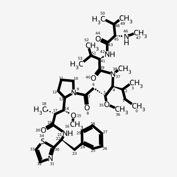 CCC(C)[C@@H]([C@@H](CC(=O)N1CCCC1[C@H](OC)[C@@H](C)C(=O)N[C@@H](Cc1ccccc1)c1nccs1)OC)N(C)C(=O)[C@@H](NC(=O)[C@@H](NC)C(C)C)C(C)C